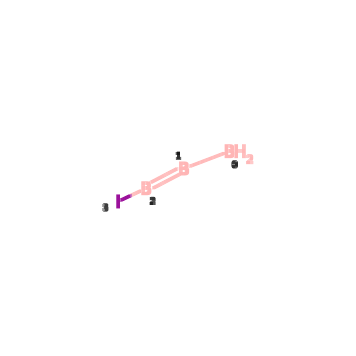 BB=BI